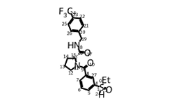 CC[SH](C)(=O)c1cccc(C(=O)N2CCC[C@@H]2C(=O)NCc2ccc(C(F)(F)F)cc2)c1